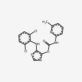 Cc1cccc(NC(=O)Oc2ncsc2Nc2c(Cl)cccc2Cl)n1